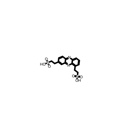 O=S(=O)(O)CCc1ccc2nc3cccc(CCS(=O)(=O)O)c3nc2c1